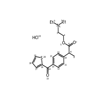 CCN(CC)CCOC(=O)C(C)c1ccc(C(=O)c2cccs2)cc1.Cl